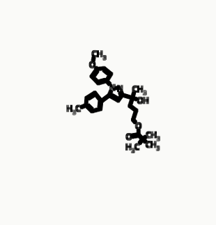 COc1ccc(-n2nc(C(C)(O)CCCOC(=O)C(C)(C)C)cc2-c2ccc(C)cc2)cc1